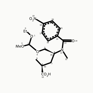 CCOC(OC)OC[C@H](C[C@H](C)C(=O)O)N(C)C(=O)c1ccc([N+](=O)[O-])cc1